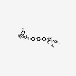 CC[C@@H](C)n1ncn(-c2ccc(N3CCN(c4ccc(OC[C@@H]5CO[C@@](C)(c6ccc(Cl)cc6Cl)O5)cc4)CC3)cc2)c1=O